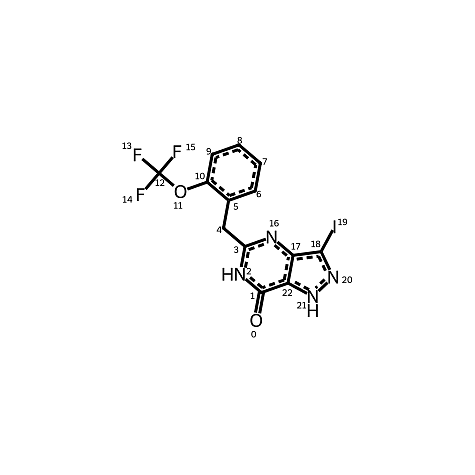 O=c1[nH]c(Cc2ccccc2OC(F)(F)F)nc2c(I)n[nH]c12